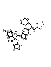 CCC(CC)CN(CC1CCCCO1)c1ccc2c(cnn2[C@H](C)[C@](O)(Cn2cncn2)c2ccc(F)cc2F)c1